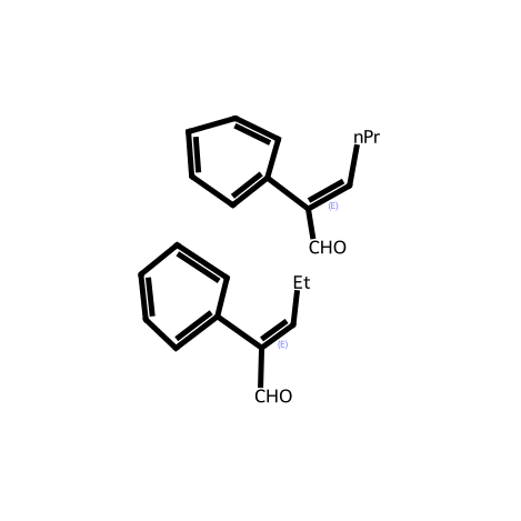 CC/C=C(/C=O)c1ccccc1.CCC/C=C(/C=O)c1ccccc1